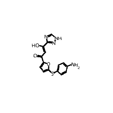 Nc1ccc(Sc2ccc(C(=O)C=C(O)c3nc[nH]n3)o2)cc1